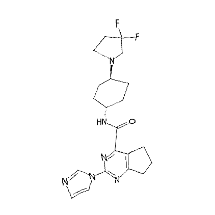 O=C(N[C@H]1CC[C@H](N2CCC(F)(F)C2)CC1)c1nc(-n2ccnc2)nc2c1CCC2